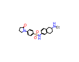 CCN[C@H]1CCc2cc(NS(=O)(=O)c3ccc(N4CCCC4=O)cc3)ccc2C1